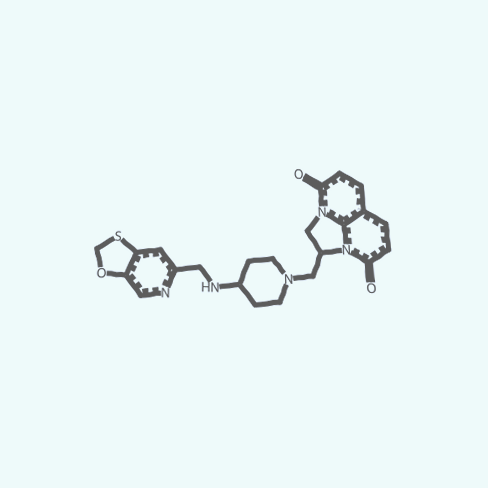 O=c1ccc2ccc(=O)n3c2n1CC3CN1CCC(NCc2cc3c(cn2)OCS3)CC1